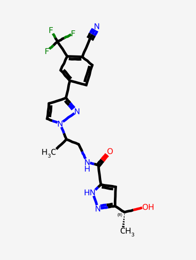 CC(CNC(=O)c1cc([C@@H](C)O)n[nH]1)n1ccc(-c2ccc(C#N)c(C(F)(F)F)c2)n1